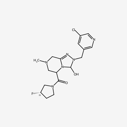 CN1CC2=NN(Cc3cncc(Cl)c3)C(O)N2C(C(=O)N2CC[C@H](F)C2)C1